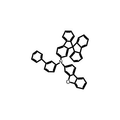 c1ccc(-c2cccc(N(c3ccc4c(c3)C3(c5ccccc5-c5ccccc53)c3ccccc3-4)c3ccc4c(c3)oc3ccccc34)c2)cc1